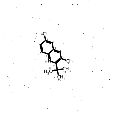 Cc1cc2cc(Cl)ccc2nc1C(C)(C)C